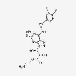 CCCSc1nc(N[C@@H]2C[C@H]2c2ccc(F)c(F)c2)c2nnn([C@H](O)[C@H](O)[C@H](CC)OCCN)c2n1